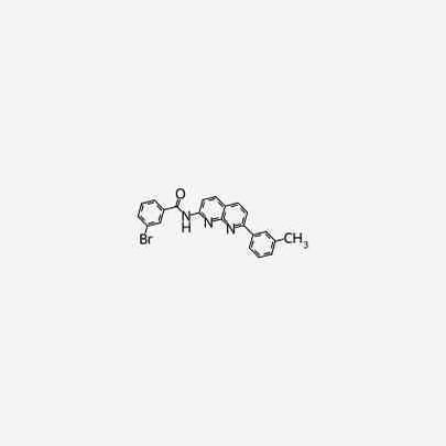 Cc1cccc(-c2ccc3ccc(NC(=O)c4cccc(Br)c4)nc3n2)c1